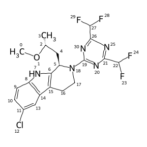 CO[C@H](C)C[C@@H]1c2[nH]c3ccc(Cl)cc3c2CCN1c1nc(C(F)F)nc(C(F)F)n1